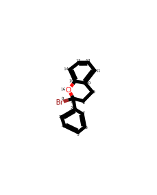 BrC1(c2ccccc2)CCc2ccccc2O1